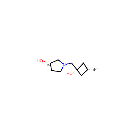 CC(C)[C@H]1C[C@](O)(CN2CC[C@H](O)C2)C1